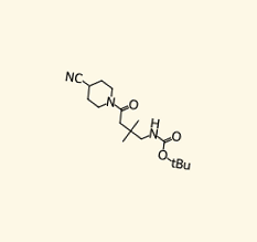 CC(C)(CNC(=O)OC(C)(C)C)CC(=O)N1CCC(C#N)CC1